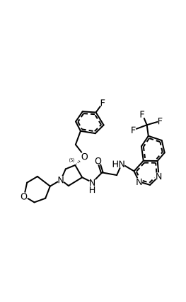 O=C(CNc1ncnc2ccc(C(F)(F)F)cc12)NC1CN(C2CCOCC2)C[C@@H]1OCc1ccc(F)cc1